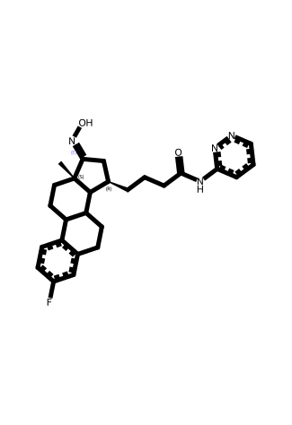 C[C@]12CCC3c4ccc(F)cc4CCC3C1[C@H](CCCC(=O)Nc1cccnn1)C/C2=N\O